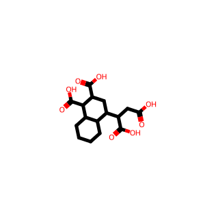 O=C(O)CC(C(=O)O)C1CC(C(=O)O)C(C(=O)O)C2CCCCC12